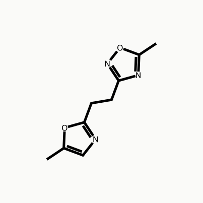 Cc1cnc(CCc2noc(C)n2)o1